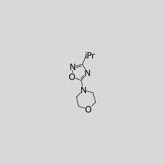 CC(C)c1noc(N2CCOCC2)n1